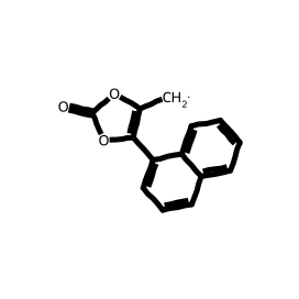 [CH2]c1oc(=O)oc1-c1cccc2ccccc12